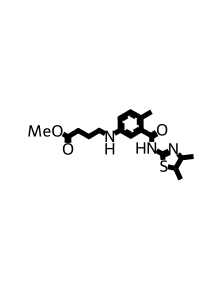 COC(=O)CCCNc1ccc(C)c(C(=O)NC2=NC(C)C(C)S2)c1